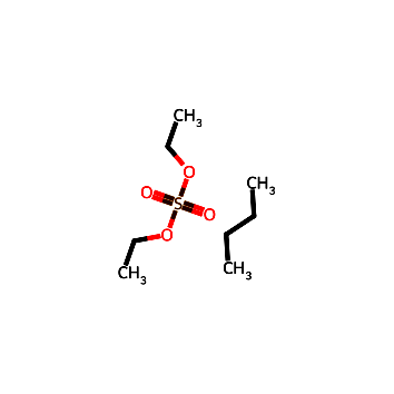 CCCC.CCOS(=O)(=O)OCC